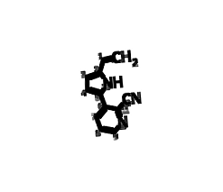 C=Cc1ccc(-c2cccnc2C#N)[nH]1